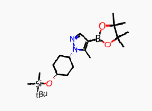 Cc1c(B2OC(C)(C)C(C)(C)O2)cnn1[C@H]1CC[C@@H](O[Si](C)(C)C(C)(C)C)CC1